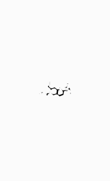 CCOP(=O)(OCC)c1ccc2c(n1)CC(CC(C)C)N(C(=O)OC(C)(C)C)C2